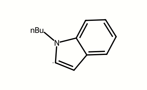 CCCCn1[c]cc2ccccc21